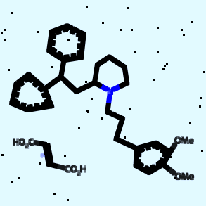 COc1ccc(CCCN2CCCCC2CC(c2ccccc2)c2ccccc2)cc1OC.O=C(O)/C=C/C(=O)O